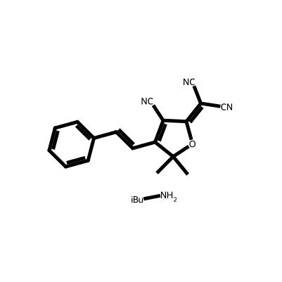 CC1(C)OC(=C(C#N)C#N)C(C#N)=C1C=Cc1ccccc1.CCC(C)N